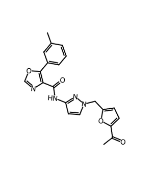 CC(=O)c1ccc(Cn2ccc(NC(=O)c3ncoc3-c3cccc(C)c3)n2)o1